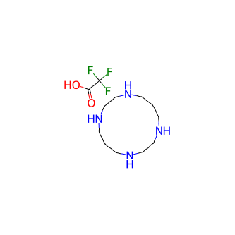 C1CNCCNCCCNCCNC1.O=C(O)C(F)(F)F